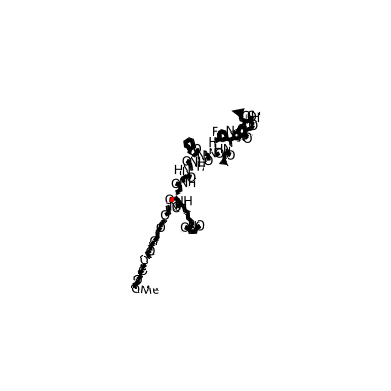 COCCOCCOCCOCCOCCOCCOCCOCCNC(=O)[C@H](CCC(=O)NCC(=O)NCC(=O)N[C@@H](Cc1ccccc1)C(=O)NCC(=O)NCO[C@H](C(=O)NCc1c2c(nc3cc(F)c(C)cc13)-c1cc3c(c(=O)n1C2)COC(=O)[C@]3(O)CC1CC1)C1CC1)NC(=O)CCCCCN1C(=O)C=CC1=O